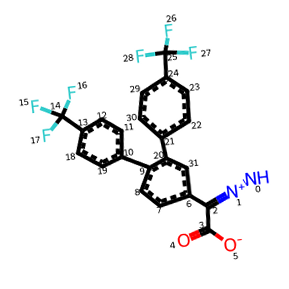 N=[N+]=C(C(=O)[O-])c1ccc(-c2ccc(C(F)(F)F)cc2)c(-c2ccc(C(F)(F)F)cc2)c1